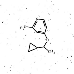 CC(Oc1ccnc(N)c1)C1CC1